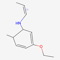 C/C=C\NC1C=C(OCC)C=CC1C